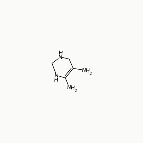 NC1=C(N)NCNC1